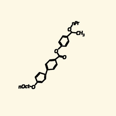 CCCCCCCCOc1ccc(-c2ccc(C(=O)Oc3ccc(C(C)OCCC)cc3)cc2)cc1